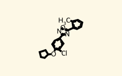 Cc1ccccc1-c1nc(-c2ccc(OC3CCCC3)c(Cl)c2)no1